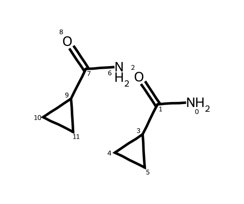 NC(=O)C1CC1.NC(=O)C1CC1